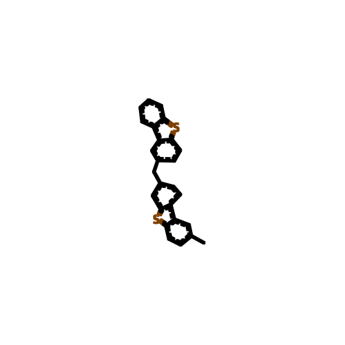 Cc1ccc2sc3cc(Cc4ccc5sc6ccccc6c5c4)ccc3c2c1